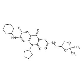 CC1(C)OCC(CNC(=O)Cn2c(=O)c3cc(F)c(NC4CCCCC4)cc3n(C3CCCC3)c2=O)O1